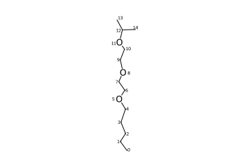 CCCCCOCCOCCOC(C)C